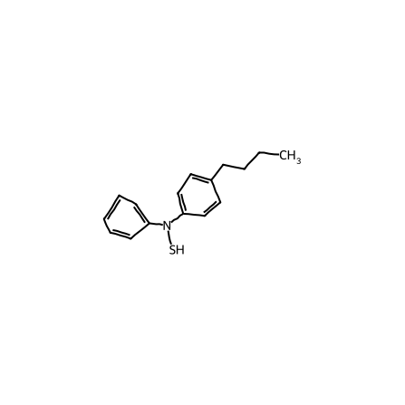 CCCCc1ccc(N(S)c2ccccc2)cc1